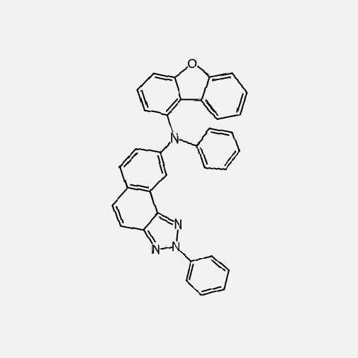 c1ccc(N(c2ccc3ccc4nn(-c5ccccc5)nc4c3c2)c2cccc3oc4ccccc4c23)cc1